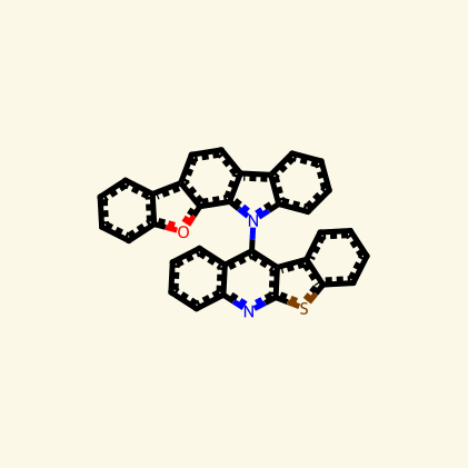 c1ccc2c(-n3c4ccccc4c4ccc5c6ccccc6oc5c43)c3c(nc2c1)sc1ccccc13